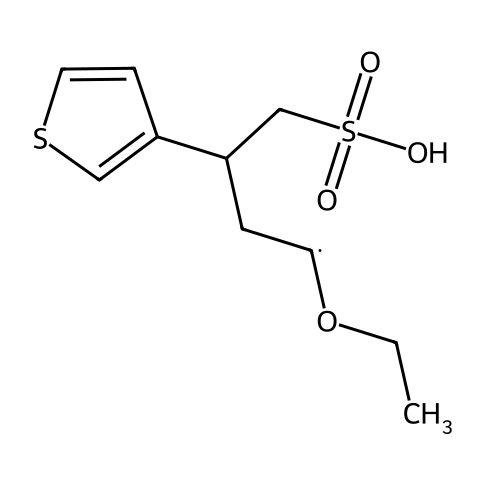 CCO[CH]CC(CS(=O)(=O)O)c1ccsc1